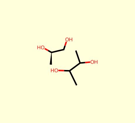 CC(O)C(C)O.C[C@@H](O)CO